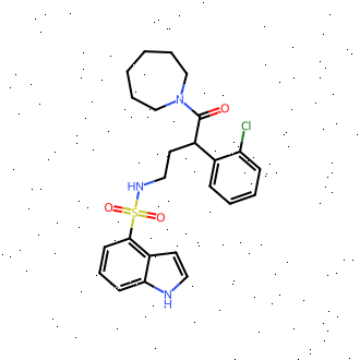 O=C(C(CCNS(=O)(=O)c1cccc2[nH]ccc12)c1ccccc1Cl)N1CCCCCC1